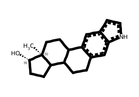 C[C@]12CCC3c4cc5cc[nH]c5cc4CCC3C1CC[C@@H]2O